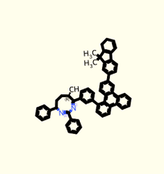 C[C@@H]1CCC(c2ccccc2)/N=C(c2ccccc2)\N=C/1c1cccc(-c2cccc3c4ccccc4c4cc(-c5ccc6c(c5)C(C)(C)C5=C6C=CCC5)ccc4c23)c1